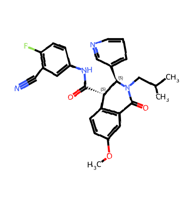 COc1ccc2c(c1)C(=O)N(CC(C)C)[C@H](c1cccnc1)[C@H]2C(=O)Nc1ccc(F)c(C#N)c1